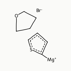 C1CCOC1.[Br-].[Mg+][c]1cccs1